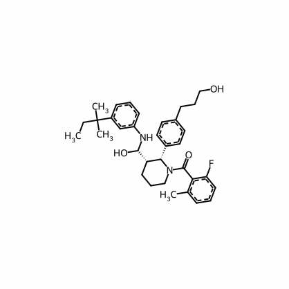 CCC(C)(C)c1cccc(NC(O)[C@H]2CCCN(C(=O)c3c(C)cccc3F)[C@H]2c2ccc(CCCO)cc2)c1